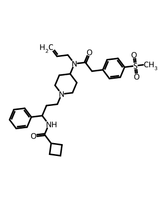 C=CCN(C(=O)Cc1ccc(S(C)(=O)=O)cc1)C1CCN(CCC(NC(=O)C2CCC2)c2ccccc2)CC1